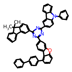 CC1(C)c2ccccc2-c2cc(-c3nc(-c4ccc5c(c4)oc4cccc(-c6ccc(-c7ccccc7)cc6)c45)nc(-c4ccc5c(c4)c4ccccc4n5-c4ccccc4)n3)ccc21